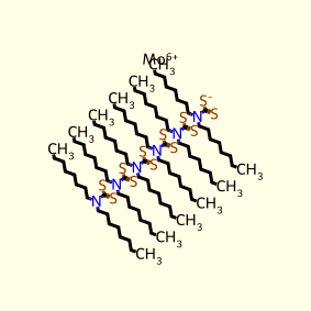 CCCCCCCCN(CCCCCCCC)C(=S)[S-].CCCCCCCCN(CCCCCCCC)C(=S)[S-].CCCCCCCCN(CCCCCCCC)C(=S)[S-].CCCCCCCCN(CCCCCCCC)C(=S)[S-].CCCCCCCCN(CCCCCCCC)C(=S)[S-].CCCCCCCCN(CCCCCCCC)C(=S)[S-].[Mo+6]